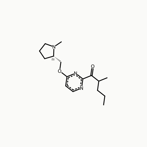 CCCC(C)C(=O)c1nccc(OC[C@@H]2CCCN2C)n1